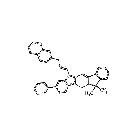 CC1(C)c2ccccc2C2=Cc3c(c4ccc(-c5ccccc5)cc4n3/C=N/Cc3ccc4ccccc4c3)CC21